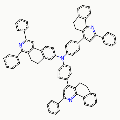 c1ccc(-c2cc3c(c(-c4ccccc4)n2)CCc2cc(N(c4ccc(-c5cc(-c6ccccc6)nc6c5CCc5ccccc5-6)cc4)c4ccc(-c5cc(-c6ccccc6)nc6c5CCc5ccccc5-6)cc4)ccc2-3)cc1